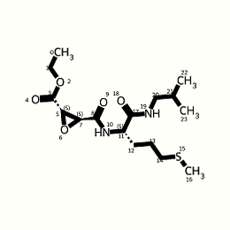 CCOC(=O)[C@H]1O[C@@H]1C(=O)N[C@@H](CCCSC)C(=O)NCC(C)C